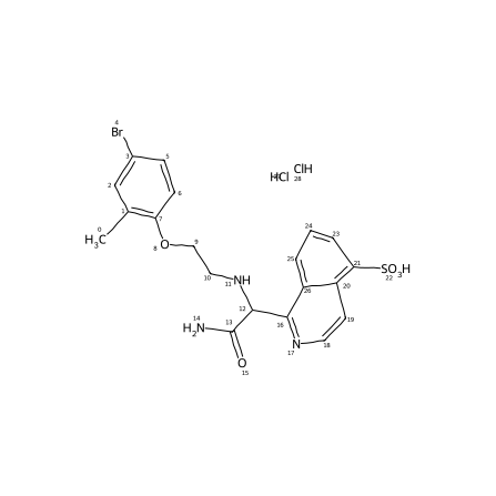 Cc1cc(Br)ccc1OCCNC(C(N)=O)c1nccc2c(S(=O)(=O)O)cccc12.Cl.Cl